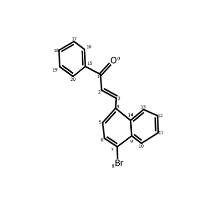 O=C(/C=C/c1ccc(Br)c2ccccc12)c1ccccc1